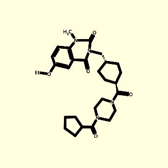 CCOc1ccc2c(c1)c(=O)n(C[C@H]1CC[C@H](C(=O)N3CCN(C(=O)C4CCCC4)CC3)CC1)c(=O)n2C